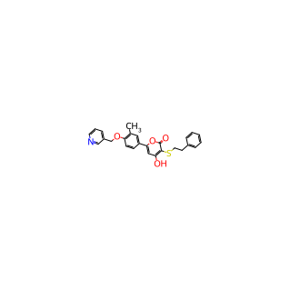 Cc1cc(-c2cc(O)c(SCCc3ccccc3)c(=O)o2)ccc1OCc1cccnc1